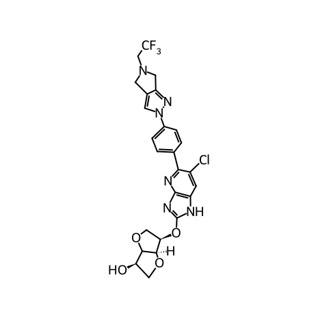 O[C@@H]1CO[C@H]2C1OC[C@H]2Oc1nc2nc(-c3ccc(-n4cc5c(n4)CN(CC(F)(F)F)C5)cc3)c(Cl)cc2[nH]1